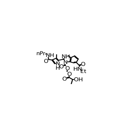 CCCNC(=O)c1c[nH]c(C(=N)N(C(=O)OCOC(=O)C(C)O)c2cc(C(=O)NCC)ccc2C)c1C